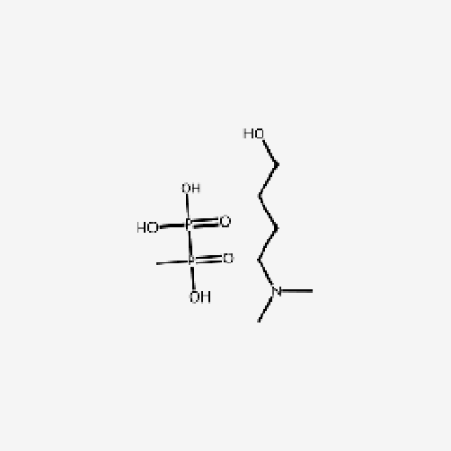 CN(C)CCCCO.CP(=O)(O)P(=O)(O)O